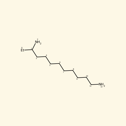 CCC(N)CCCCCCCCCN